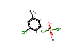 FC(F)(F)c1cccc(Cl)c1.O=S(=O)(Cl)Cl